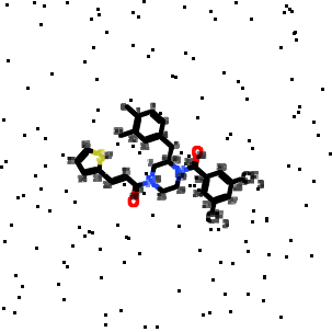 Cc1ccc(C[C@@H]2CN(C(=O)C=Cc3cccs3)CCN2C(=O)c2cc(C(F)(F)F)cc(C(F)(F)F)c2)cc1C